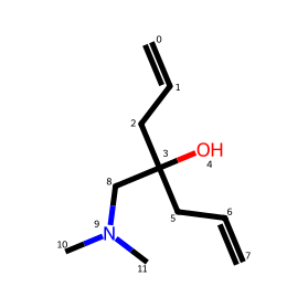 C=CCC(O)(CC=C)CN(C)C